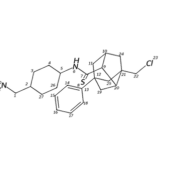 NCC1CCC(NC(=S)C2C3CC4(c5ccccc5)CC2C(CCl)(C3)C4)CC1